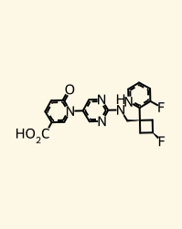 O=C(O)c1ccc(=O)n(-c2cnc(NC[C@]3(c4ncccc4F)C[C@H](F)C3)nc2)c1